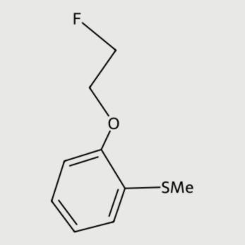 CSc1ccccc1OCCF